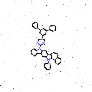 c1ccc(-c2cc(-c3ccccc3)cc(-c3cnc(-n4c5ccccc5c5cc6c(cc54)c4ccc5ccccc5c4n6-c4ccccc4)nc3)c2)cc1